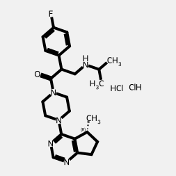 CC(C)NCC(C(=O)N1CCN(c2ncnc3c2[C@H](C)CC3)CC1)c1ccc(F)cc1.Cl.Cl